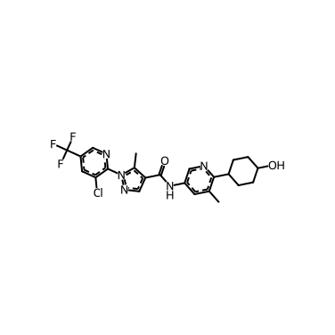 Cc1cc(NC(=O)c2cnn(-c3ncc(C(F)(F)F)cc3Cl)c2C)cnc1C1CCC(O)CC1